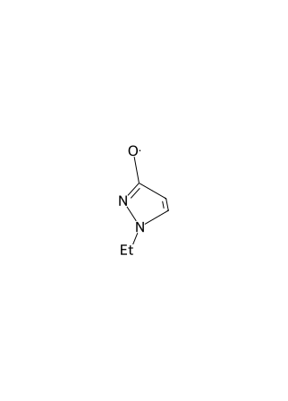 CCn1ccc([O])n1